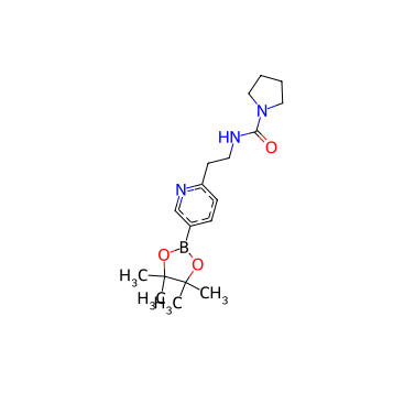 CC1(C)OB(c2ccc(CCNC(=O)N3CCCC3)nc2)OC1(C)C